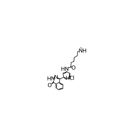 CNCCCCCC(=O)Nc1cccc(-c2n[nH]c(=O)c3ccccc23)c1.Cl